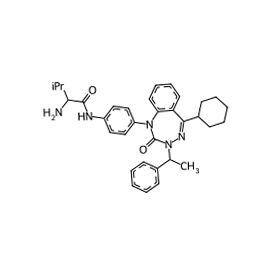 CC(C)C(N)C(=O)Nc1ccc(N2C(=O)N(C(C)c3ccccc3)N=C(C3CCCCC3)c3ccccc32)cc1